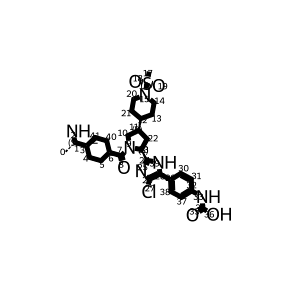 C[C@H](N)C1CCC(C(=O)N2C[C@@H](C3CCN(S(C)(=O)=O)CC3)C[C@H]2c2nc(Cl)c(-c3ccc(NC(=O)O)cc3)[nH]2)CC1